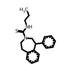 CCCNC(=S)N1CCc2ccccc2C(c2ccccc2)C1